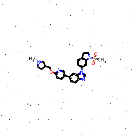 CN1CCC(COc2ccc(-c3ccc4ncn(-c5ccc6c(c5)N(S(C)(=O)=O)CC6)c4c3)cn2)C1